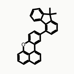 CC1(C)c2ccccc2-c2c(-c3ccc4c(c3)-c3cccc5cccc(c35)O4)cccc21